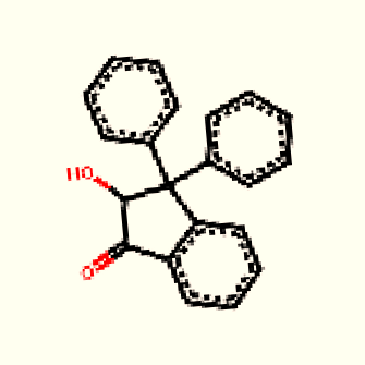 O=C1c2ccccc2C(c2ccccc2)(c2ccccc2)C1O